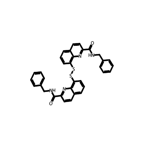 O=C(NCc1ccccc1)c1ccc2cccc(SSc3cccc4ccc(C(=O)NCc5ccccc5)nc34)c2n1